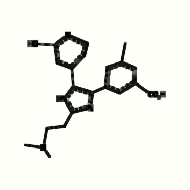 Cc1cc(C(=O)O)cc(-c2nc(CCN(C)C)[nH]c2-c2ccnc(O)c2)c1